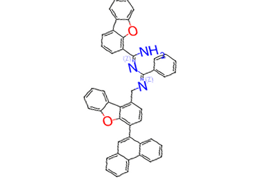 N/C(=N\C(=N/Cc1ccc(-c2cc3ccccc3c3ccccc23)c2oc3ccccc3c12)c1ccccc1)c1cccc2c1oc1ccccc12